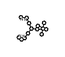 c1ccc(-c2c3c(c(-c4ccccc4)c4ccccc24)-c2ccc(-c4cc(-c5ccc(-c6cccc(-c7ccccn7)n6)cc5)cc(-c5ccc(-c6ccc7ccc8cccnc8c7n6)cc5)c4)c4cccc-3c24)cc1